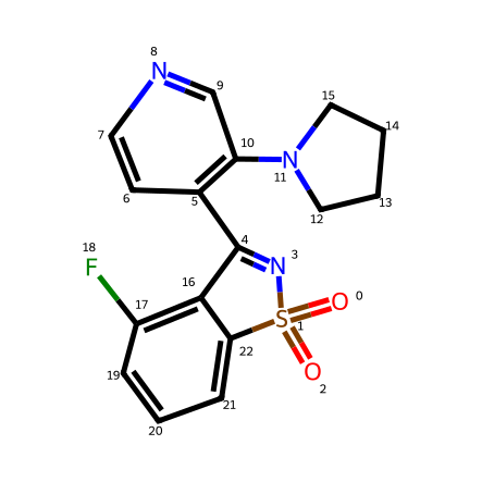 O=S1(=O)N=C(c2ccncc2N2CCCC2)c2c(F)cccc21